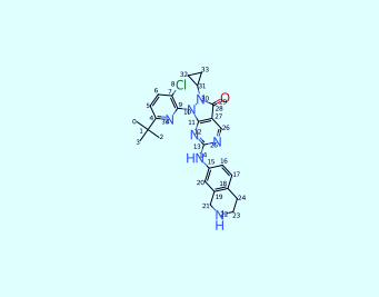 CC(C)(C)c1ccc(Cl)c(-n2c3nc(Nc4ccc5c(c4)CNCC5)ncc3c(=O)n2C2CC2)n1